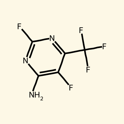 Nc1nc(F)nc(C(F)(F)F)c1F